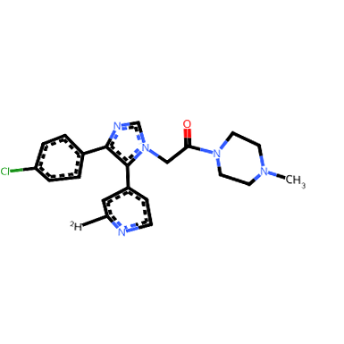 [2H]c1cc(-c2c(-c3ccc(Cl)cc3)ncn2CC(=O)N2CCN(C)CC2)ccn1